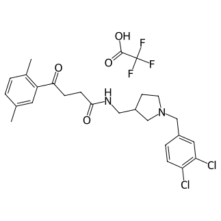 Cc1ccc(C)c(C(=O)CCC(=O)NCC2CCN(Cc3ccc(Cl)c(Cl)c3)C2)c1.O=C(O)C(F)(F)F